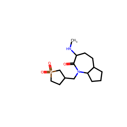 CNC1CCC2CCCC2N(CC2CCS(=O)(=O)C2)C1=O